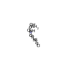 Nc1cc(C(=O)N/N=C/c2cccc3c2ccn3Cc2csc(-c3ccc(Cl)cc3)n2)ccc1O